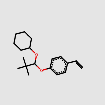 C=Cc1ccc(OC(OC2CCCCC2)C(C)(C)C)cc1